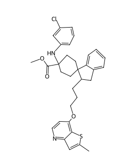 COC(=O)C1(Nc2cccc(Cl)c2)CCC2(CC1)c1ccccc1CC2CCCOc1ccnc2cc(C)sc12